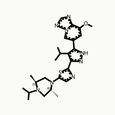 COc1cc(-c2[nH]nc(-c3ncc(N4C[C@H](C)N(C(C)C)C[C@H]4C)s3)c2C(C)C)cn2ncnc12